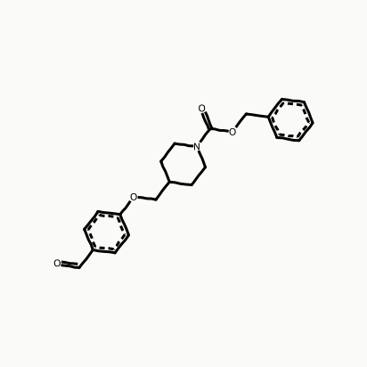 O=Cc1ccc(OCC2CCN(C(=O)OCc3ccccc3)CC2)cc1